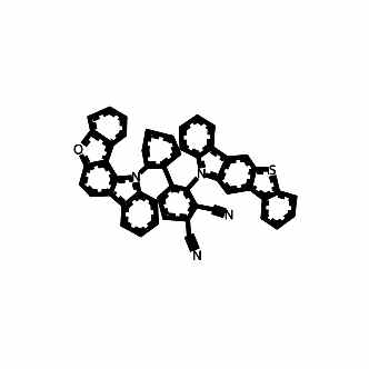 N#Cc1ccc(-c2ccccc2-n2c3ccccc3c3ccc4oc5ccccc5c4c32)c(-n2c3ccccc3c3cc4sc5ccccc5c4cc32)c1C#N